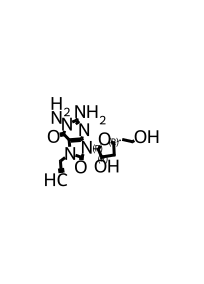 C#CCn1c(=O)n([C@@H]2O[C@H](CCO)C[C@H]2O)c2nc(N)n(N)c(=O)c21